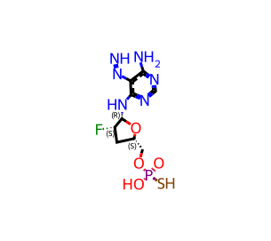 N=Nc1c(N)ncnc1N[C@@H]1O[C@H](COP(=O)(O)S)C[C@@H]1F